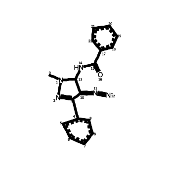 CN1N=C(c2ccccc2)C(=[N+]=[N-])C1NC(=O)c1ccccc1